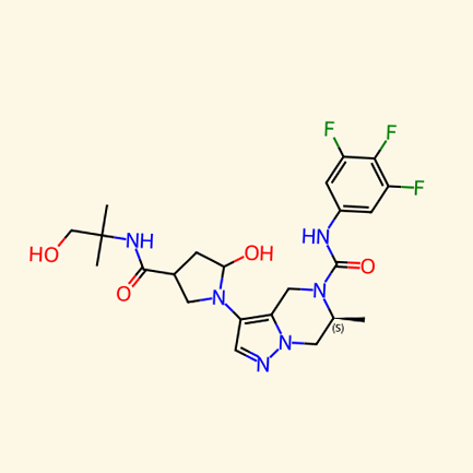 C[C@H]1Cn2ncc(N3CC(C(=O)NC(C)(C)CO)CC3O)c2CN1C(=O)Nc1cc(F)c(F)c(F)c1